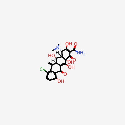 C=C1c2c(Cl)ccc(O)c2C(=O)C2=C(O)[C@]3(O)C(=O)C(C(N)=O)=C(O)[C@@H](N(C)C)[C@H]3[C@@H](O)[C@H]12